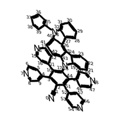 N#Cc1c(-c2ccncc2)c(-c2ccncc2)c(-n2c3ccccc3c3c4c5ccccc5n(-c5ccccc5)c4ccc32)c(-c2ccncc2)c1-c1ccncc1